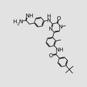 Cc1c(NC(=O)c2ccc(C(C)(C)C)cc2)cccc1-c1cn(C)c(=O)c(Nc2ccc(CC(=N)N)cc2)n1